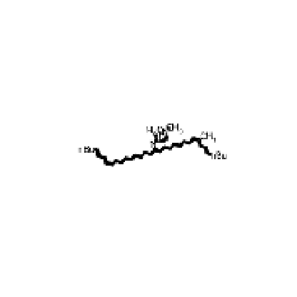 CCCC/C=C/C/C=C\CCCCCCCCC(CCCCCCCCC(C)C/C=C/CCCC)=NN(C)CCN(C)C